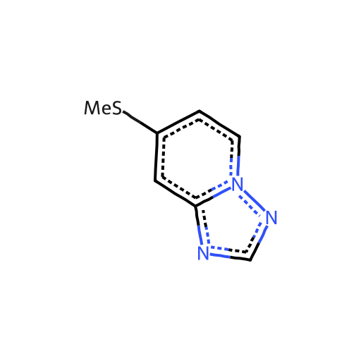 CSc1ccn2ncnc2c1